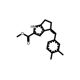 COC(=O)c1cc2c([nH]1)CC/C2=C/c1ccc(C)c(C)c1